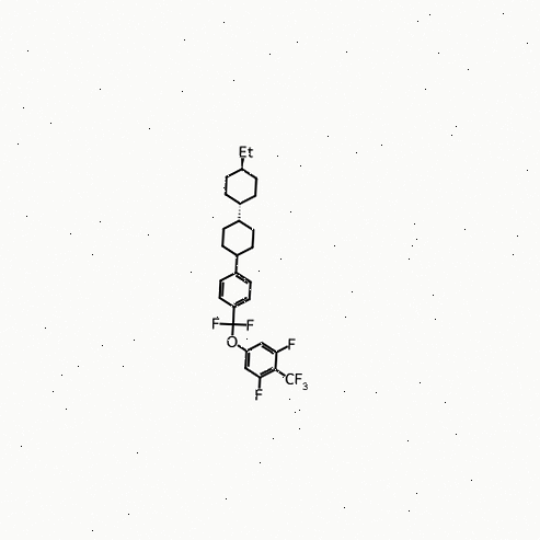 CC[C@H]1CC[C@H](C2CCC(c3ccc(C(F)(F)Oc4cc(F)c(C(F)(F)F)c(F)c4)cc3)CC2)CC1